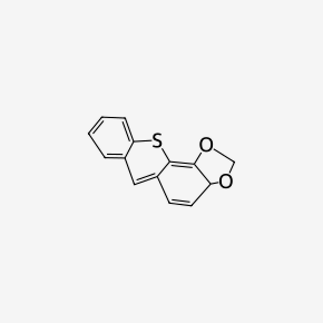 C1=CC2OCOC2=C2Sc3ccccc3C=C12